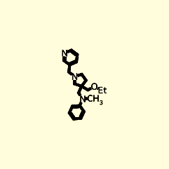 CCOCC1(CN(C)c2ccccc2)CCN(Cc2cccnc2)C1